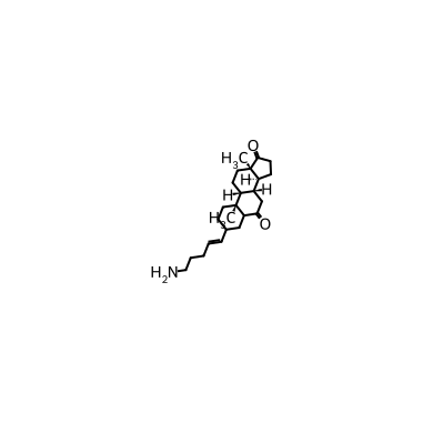 C[C@]12CCC(C=CCCCN)CC1C(=O)C[C@@H]1[C@H]2CC[C@]2(C)C(=O)CC[C@@H]12